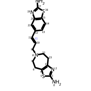 Nc1nc2c(s1)CCN(C/C=C/c1ccc3sc(N)nc3c1)CC2